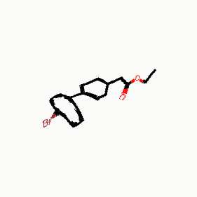 CCOC(=O)CC1CC=C(c2ccc(Br)cc2)CC1